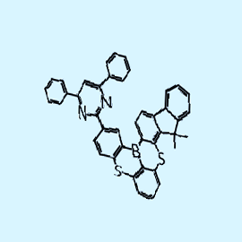 CC1(C)c2ccccc2-c2ccc3c(c21)Sc1cccc2c1B3c1cc(-c3nc(-c4ccccc4)cc(-c4ccccc4)n3)ccc1S2